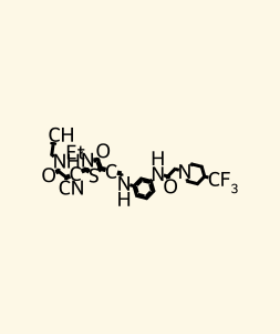 C#CCNC(=O)C(=C=c1sc(=C=CNc2cccc(NC(=O)CN3CCC(C(F)(F)F)CC3)c2)c(=O)n1CC)C#N